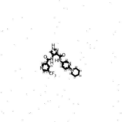 O=C(Nc1c[nH]nc1C(=O)Nc1ccc(N2CCCCC2)nc1)c1cncc(C(F)(F)F)c1